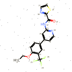 CCOc1ccc(-c2ccnc(NC(=O)c3nccs3)c2)cc1C(F)(F)F